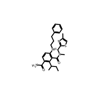 CCC(C)c1c(C(N)=O)ccc(NCCCc2ccccc2)c1C(=O)N(C)Cc1nc(C)cs1